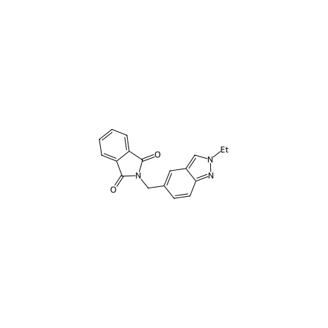 CCn1cc2cc(CN3C(=O)c4ccccc4C3=O)ccc2n1